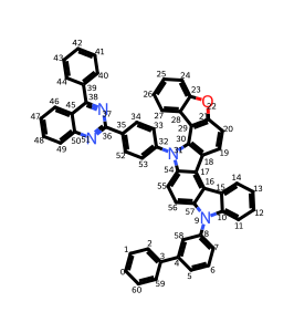 c1ccc(-c2cccc(-n3c4ccccc4c4c5c6ccc7oc8ccccc8c7c6n(-c6ccc(-c7nc(-c8ccccc8)c8ccccc8n7)cc6)c5ccc43)c2)cc1